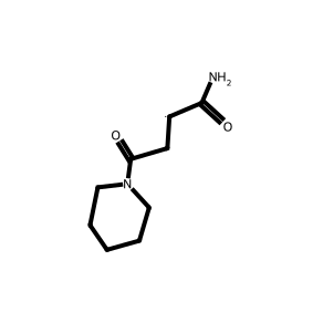 NC(=O)[CH]CC(=O)N1CCCCC1